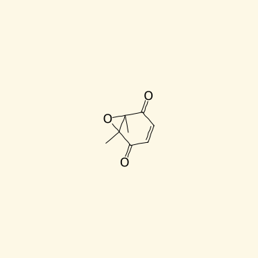 CC12OC1(C)C(=O)C=CC2=O